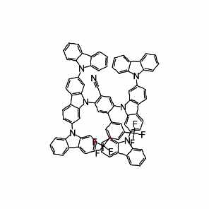 N#Cc1cc(-n2c3cc(-n4c5ccccc5c5ccccc54)ccc3c3ccc(-n4c5ccccc5c5ccccc54)cc32)c(-c2cc(C(F)(F)F)cc(C(F)(F)F)c2)cc1-n1c2cc(-n3c4ccccc4c4ccccc43)ccc2c2ccc(-n3c4ccccc4c4ccccc43)cc21